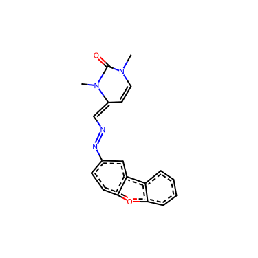 CN1C=CC(=CN=Nc2ccc3oc4ccccc4c3c2)N(C)C1=O